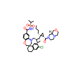 CCCC[C@]1([C@@H]2CC[C@H]2CN2C[C@@]3(CCCc4cc(Cl)ccc43)COc3ccc(C(=O)NS(=O)(=O)C(C)C)cc32)C[C@@H]1C(=O)N1CCN2CCOC[C@H]2C1